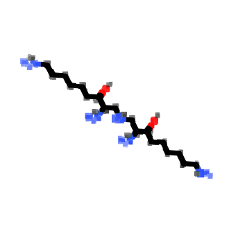 NCCCCCCC(=O)C(N)CNCC(N)C(=O)CCCCCCN